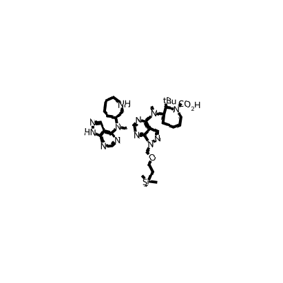 CN(c1ncnc2[nH]ncc12)C1CCCCNC1.CN(c1ncnc2c1cnn2COCC[Si](C)(C)C)C1CCCCN(C(=O)O)C1C(C)(C)C